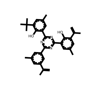 C=C(C)c1cc(C)cc(-c2nc(-c3cc(C)cc(C(=C)C)c3O)nc(-c3cc(C)cc(C(C)(C)C)c3O)n2)c1